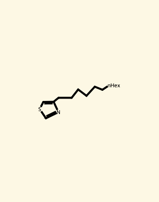 CCCCCCCCCCCCc1cs[c]n1